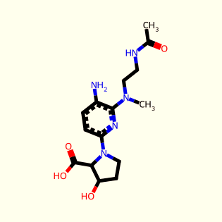 CC(=O)NCCN(C)c1nc(N2CCC(O)C2C(=O)O)ccc1N